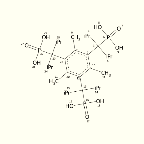 Cc1c(C(C(C)C)(C(C)C)P(=O)(O)O)c(C)c(C(C(C)C)(C(C)C)P(=O)(O)O)c(C)c1C(C(C)C)(C(C)C)P(=O)(O)O